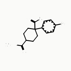 COC(=O)C1CCC(C(N)=O)(c2ccc(Br)cc2)CC1